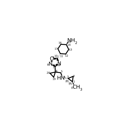 C[C@@H]1C[C@H]1NCC1(c2noc([C@H]3CC[C@H](N)CC3)n2)CC1